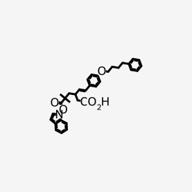 CC(C)(CC(C=Cc1ccc(OCCCCc2ccccc2)cc1)CC(=O)O)C(=O)On1ccc2ccccc21